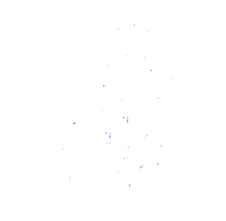 CC1(C)c2cc3ccccc3cc2-c2c(/C(=C/Cc3ccc(-c4cccc5oc6ccc7ccccc7c6c45)cc3)NC(N)c3ccccc3)cccc21